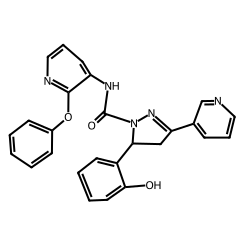 O=C(Nc1cccnc1Oc1ccccc1)N1N=C(c2cccnc2)CC1c1ccccc1O